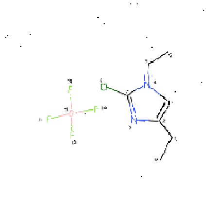 CCC1=C[NH+](CC)C(Cl)=N1.F[B-](F)(F)F